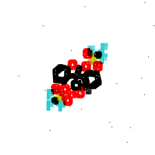 C[C@]1(c2c(O)cccc2OS(=O)(=O)C(F)(F)F)COc2cccc(OS(=O)(=O)C(F)(F)F)c21